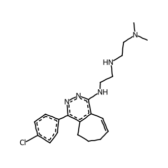 CN(C)CCNCCNc1nnc(-c2ccc(Cl)cc2)c2c1C=CCCC2